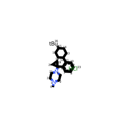 CN1CCN(C2(c3ccccc3C3CCC(C(C)(C)C)CC3)CC2)CC1.Cl